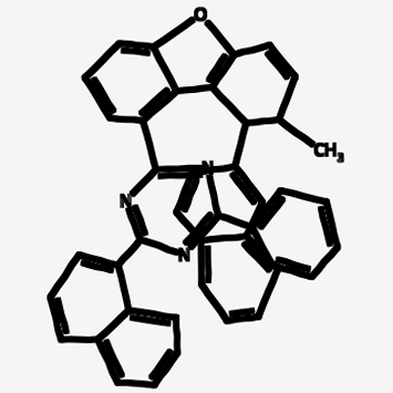 CC1C=Cc2oc3cccc(-c4nc(-c5ccccc5)nc(-c5cccc6ccccc56)n4)c3c2C1c1ccc2ccccc2c1